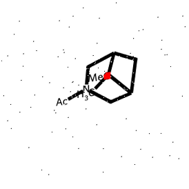 COC1(C)C2CC1CN(C(C)=O)C2